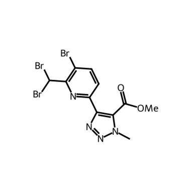 COC(=O)c1c(-c2ccc(Br)c(C(Br)Br)n2)nnn1C